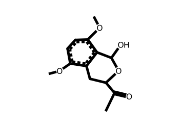 COc1ccc(OC)c2c1CC(C(C)=O)OC2O